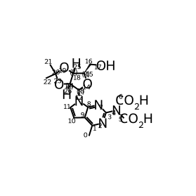 Cc1nc(N(C(=O)O)C(=O)O)nc2c1ccn2[C@@H]1O[C@H](CO)[C@H]2OC(C)(C)O[C@H]21